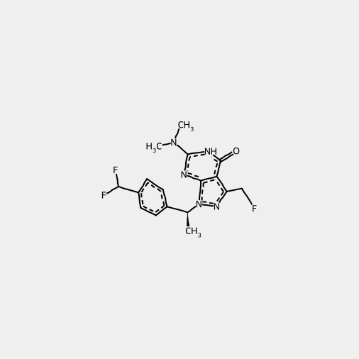 C[C@@H](c1ccc(C(F)F)cc1)n1nc(CF)c2c(=O)[nH]c(N(C)C)nc21